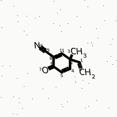 C=CC1(C)C=CC(=O)C(C#N)=C1